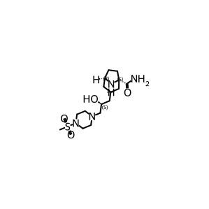 CS(=O)(=O)N1CCN(C[C@@H](O)C[C]2C[C@H]3CC[C@@](C(N)=O)(C2)N3)CC1